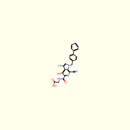 N#Cc1nc(C(=O)NCC(=O)O)c(O)c2c(Cl)cn(Cc3ccc(-c4ccccc4)cc3)c12